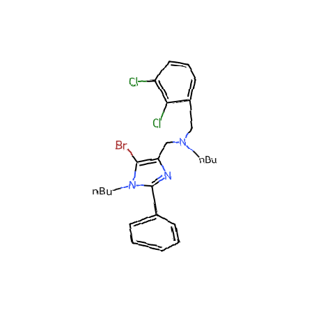 CCCCN(Cc1cccc(Cl)c1Cl)Cc1nc(-c2ccccc2)n(CCCC)c1Br